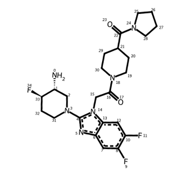 N[C@@H]1CN(c2nc3cc(F)c(F)cc3n2CC(=O)N2CCC(C(=O)N3CCCC3)CC2)CC[C@H]1F